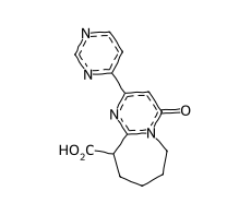 O=C(O)C1CCCCn2c1nc(-c1ccncn1)cc2=O